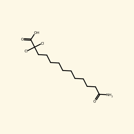 NC(=O)CCCCCCCCCCC(Cl)(Cl)C(=O)O